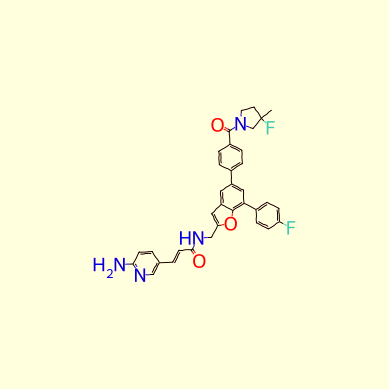 CC1(F)CCN(C(=O)c2ccc(-c3cc(-c4ccc(F)cc4)c4oc(CNC(=O)/C=C/c5ccc(N)nc5)cc4c3)cc2)C1